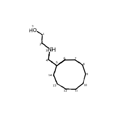 OCCNCC1CCCCCCCCC1